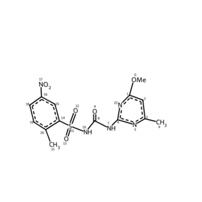 COc1cc(C)nc(NC(=O)NS(=O)(=O)c2cc([N+](=O)[O-])ccc2C)n1